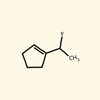 CC(F)C1=CCCC1